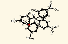 CN(C)c1ccc(S(=S)(c2ccc(N)cc2Cl)(c2ccc([N+](=O)[O-])cc2Cl)c2ccc([N+](=O)[O-])cc2Cl)c(Cl)c1